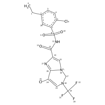 CCc1ccc(Cl)c(S(=O)(=O)NC(=O)C2=C[N+]3CN(C(F)(F)F)C=C(Cl)C3=N2)c1